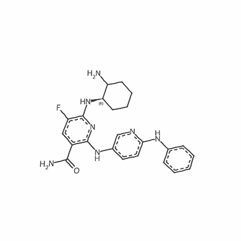 NC(=O)c1cc(F)c(N[C@@H]2CCCCC2N)nc1Nc1ccc(Nc2ccccc2)nc1